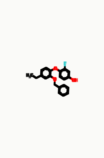 CCc1ccc(Oc2ccc(O)cc2F)c(OCc2ccccc2)c1